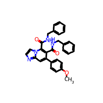 COc1ccc(-c2cc3nccn3c(C(=O)NCc3ccccc3)c2C(=O)NCc2ccccc2)cc1